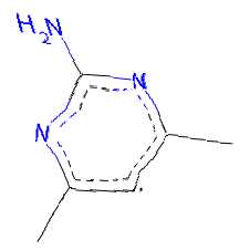 Cc1[c]c(C)nc(N)n1